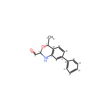 CC1OC(C=O)Nc2cc(-c3ccccc3)ccc21